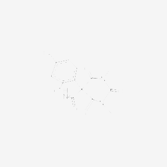 CCN1C(=O)N(C)C(=O)C(C(N)=O)(c2ccc(Cl)cc2Cl)C1=O